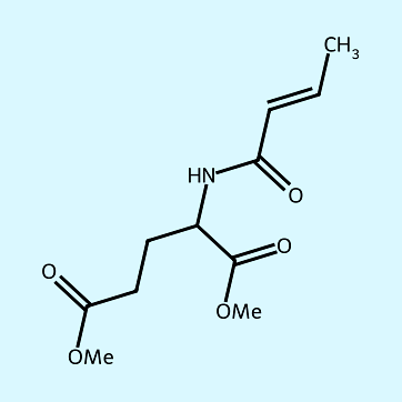 C/C=C/C(=O)NC(CCC(=O)OC)C(=O)OC